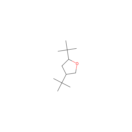 CC(C)(C)C1COC(C(C)(C)C)C1